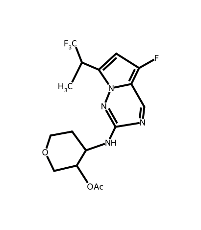 CC(=O)OC1COCCC1Nc1ncc2c(F)cc(C(C)C(F)(F)F)n2n1